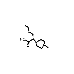 CCOC[C@H](C(=O)O)N1CCN(C)CC1